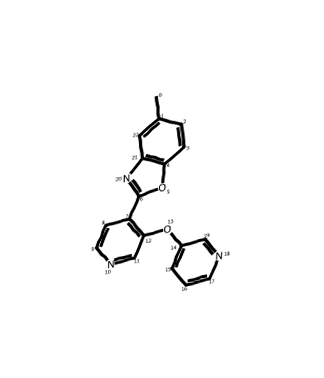 Cc1ccc2oc(-c3ccncc3Oc3cccnc3)nc2c1